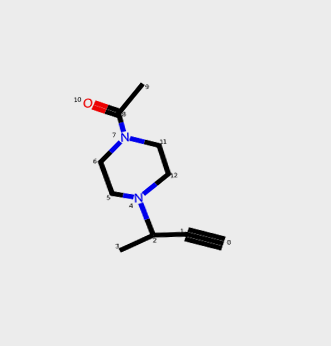 C#CC(C)N1CCN(C(C)=O)CC1